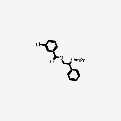 CCCOC(COC(=O)c1cccc(Cl)c1)c1ccccc1